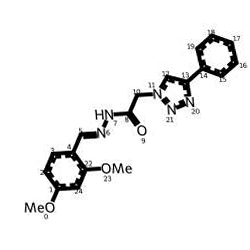 COc1ccc(C=NNC(=O)Cn2cc(-c3ccccc3)nn2)c(OC)c1